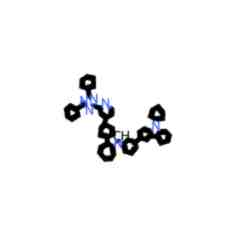 CN(C1=CC=CC(c2ccc3c(c2)c2ccccc2n3-c2ccccc2)C1)C1=CC=CC=C=C1c1ccc(-c2ccnc(-c3nc(-c4ccccc4)nc(-c4ccccc4)n3)c2)cc1